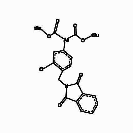 CC(C)(C)OC(=O)[As](C(=O)OC(C)(C)C)c1ccc(CN2C(=O)c3ccccc3C2=O)c(Cl)c1